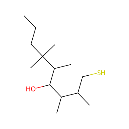 CCCC(C)(C)C(C)C(O)C(C)C(C)CS